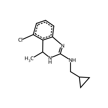 CC1NC(NCC2CC2)=Nc2cccc(Cl)c21